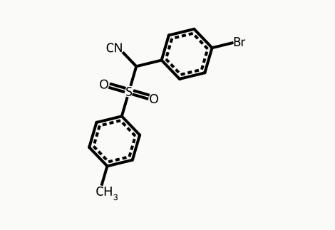 [C-]#[N+]C(c1ccc(Br)cc1)S(=O)(=O)c1ccc(C)cc1